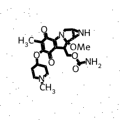 COC12C(COC(N)=O)C3=C(C(=O)C(C)=C(OC4CCN(C)CC4)C3=O)N1CC1NC12